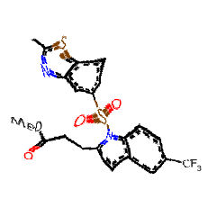 COC(=O)CCc1cc2cc(C(F)(F)F)ccc2n1S(=O)(=O)c1ccc2sc(C)nc2c1